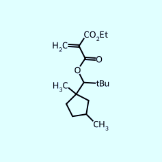 C=C(C(=O)OCC)C(=O)OC(C(C)(C)C)C1(C)CCC(C)C1